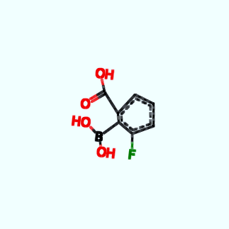 O=C(O)c1cccc(F)c1B(O)O